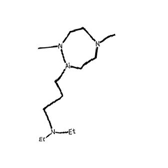 CCN(CC)CC[CH2][Al]1[CH2]CN(C)CC[N]1C